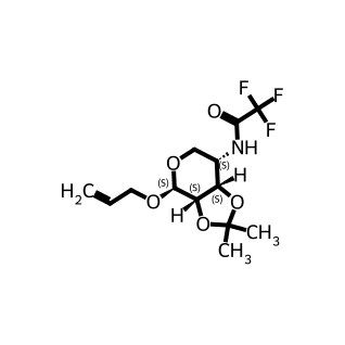 C=CCO[C@H]1OC[C@H](NC(=O)C(F)(F)F)[C@@H]2OC(C)(C)O[C@H]12